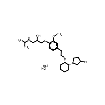 COc1cc(CCO[C@@H]2CCCC[C@H]2N2CCC(O)C2)ccc1OCC(O)CNC(C)C.Cl.Cl